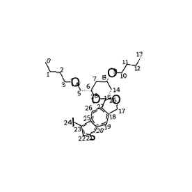 CCCCOC[C@@H]1C[C@H](OCCCC)C[C@@]2(OCc3cc4scc(I)c4cc32)O1